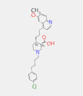 COc1ccc2nccc(CCC[C@@H]3CCN(CCCCc4ccc(Cl)cc4)C[C@@H]3C(=O)O)c2c1